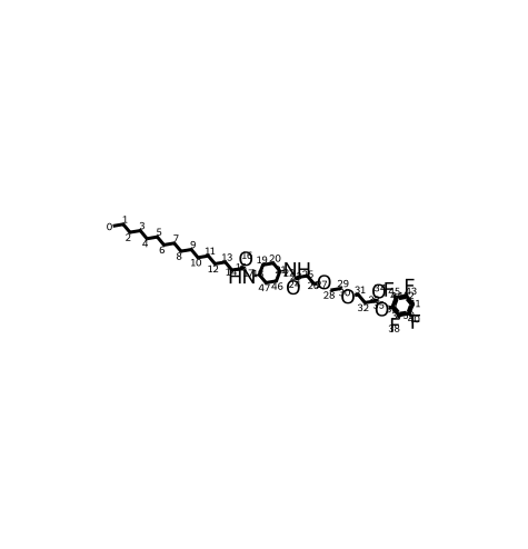 CCCCCCCCCCCCCCCC(=O)N[C@H]1CC[C@H](NC(=O)CCOCCOCCC(=O)Oc2c(F)c(F)cc(F)c2F)CC1